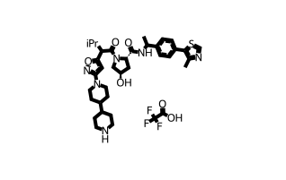 Cc1ncsc1-c1ccc(C(C)NC(=O)[C@@H]2C[C@@H](O)CN2C(=O)C(c2cc(N3CCC(C4CCNCC4)CC3)no2)C(C)C)cc1.O=C(O)C(F)(F)F